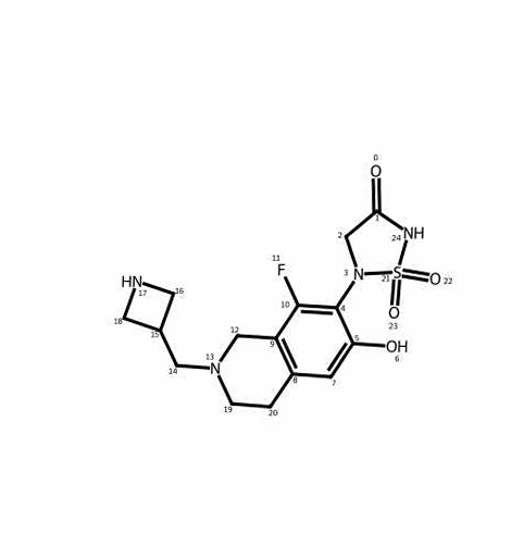 O=C1CN(c2c(O)cc3c(c2F)CN(CC2CNC2)CC3)S(=O)(=O)N1